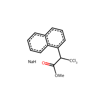 COC(=O)C(c1cccc2ccccc12)C(Cl)(Cl)Cl.[NaH]